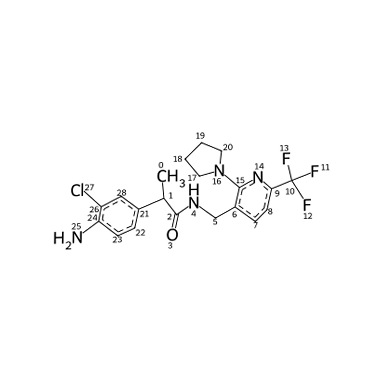 CC(C(=O)NCc1ccc(C(F)(F)F)nc1N1CCCC1)c1ccc(N)c(Cl)c1